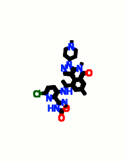 Cc1cc(C(C)Nc2ccc(Cl)nc2-c2noc(=O)[nH]2)c2c(c1)c(=O)n(C)c1c2cnn1C1CCN(C)CC1